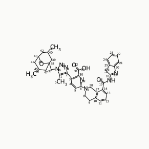 Cc1c(-c2ccc(N3CCc4cccc(C(=O)Nc5nc6ccccc6s5)c4C3)nc2C(=O)O)nnn1CC12CC(C)CC(CC(C)C1)O2